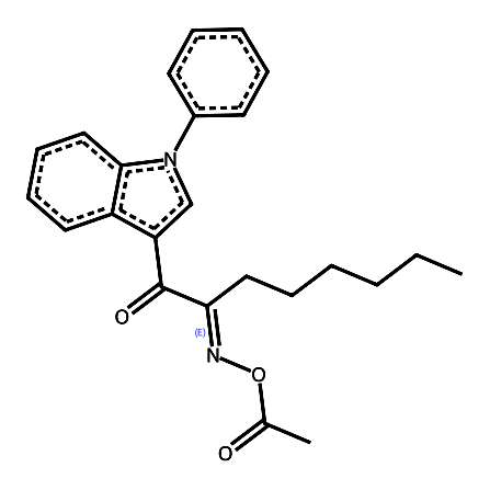 CCCCCC/C(=N\OC(C)=O)C(=O)c1cn(-c2ccccc2)c2ccccc12